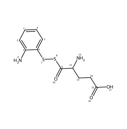 Nc1ccccc1SSC(=O)C(N)CCC(=O)O